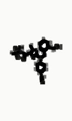 Cc1sc(N(Cc2ccccc2CO)c2ccc(C#N)cc2)nc1C(=O)NS(C)(=O)=O